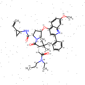 C=CC1CC1NC(=O)[C@@H]1C[C@@H](Oc2cc(-c3ccccc3)nc3cc(OC)ccc23)CN1C(=O)[C@@H](CC(=O)N(CC)CCC)C(C)(C)C